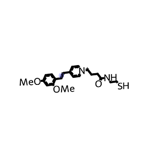 COc1ccc(/C=C/c2cc[n+](CCCC(=O)NCCS)cc2)c(OC)c1